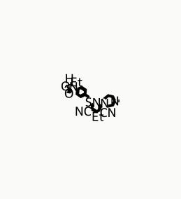 CCc1c(C#N)c(SCc2ccc(N(CC)[SH](=O)=O)cc2)nc(N2CCCN(C)CC2)c1C#N